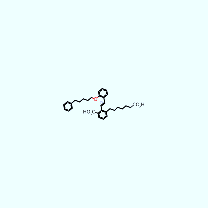 O=C(O)CCCCCCc1cccc(C(=O)O)c1/C=C/c1ccccc1OCCCCCc1ccccc1